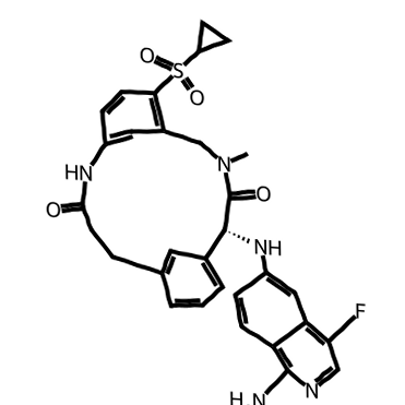 CN1Cc2cc(ccc2S(=O)(=O)C2CC2)NC(=O)CCc2cccc(c2)[C@@H](Nc2ccc3c(N)ncc(F)c3c2)C1=O